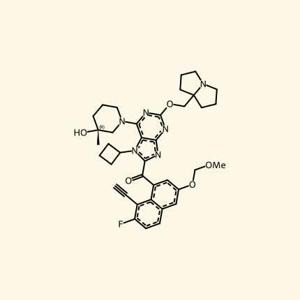 C#Cc1c(F)ccc2cc(OCOC)cc(C(=O)c3nc4nc(OCC56CCCN5CCC6)nc(N5CCC[C@@](C)(O)C5)c4n3C3CCC3)c12